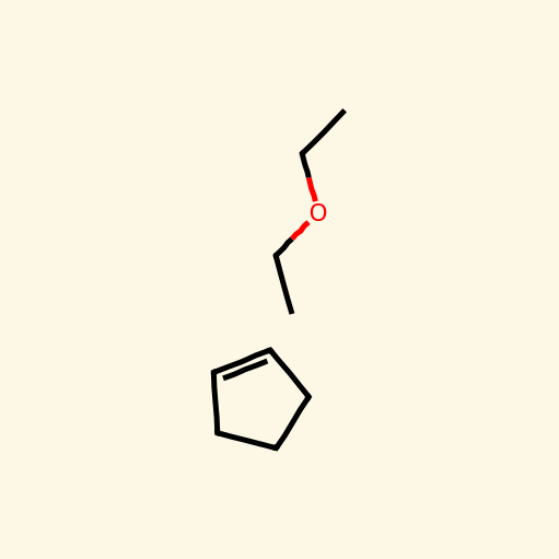 C1=CCCC1.CCOCC